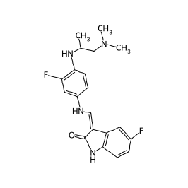 CC(CN(C)C)Nc1ccc(NC=C2C(=O)Nc3ccc(F)cc32)cc1F